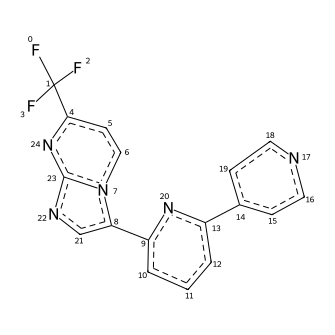 FC(F)(F)c1ccn2c(-c3cccc(-c4ccncc4)n3)cnc2n1